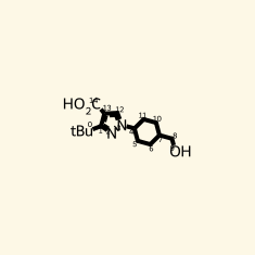 CC(C)(C)c1nn(C2CCC(CO)CC2)cc1C(=O)O